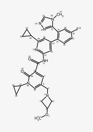 COC1CN(Cc2cc(C(=O)Nc3cc(-c4ccc(F)cc4-c4nncn4C)cc(C4CC4)n3)c(=O)n(C3CC3)c2)C1